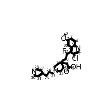 COc1ccc2ncc(Cl)c([C@H](F)CCC3(CC(=O)O)CCN(CCCc4ccncc4)CC3)c2c1